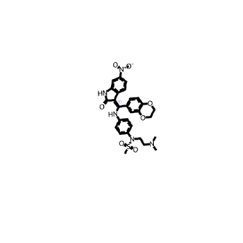 CN(C)CCN(c1ccc(N/C(=C2\C(=O)Nc3cc([N+](=O)[O-])ccc32)c2ccc3c(c2)OCCO3)cc1)S(C)(=O)=O